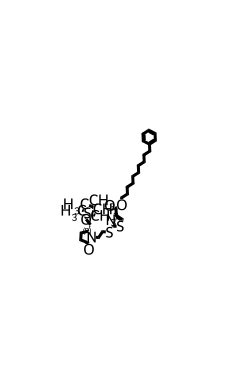 CC(C)(C)[Si](C)(C)OC[C@H]1CCC(=O)N1CCSc1nc(C(=O)OCCCCCCCCCCc2ccccc2)cs1